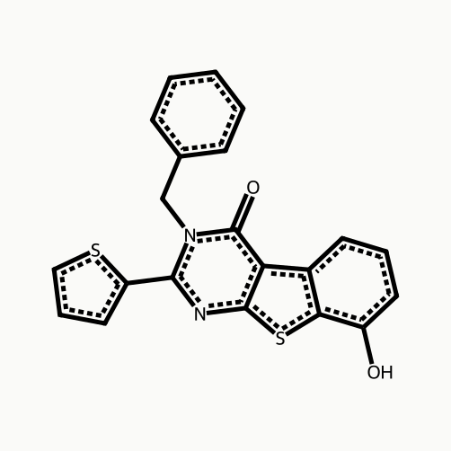 O=c1c2c(nc(-c3cccs3)n1Cc1ccccc1)sc1c(O)cccc12